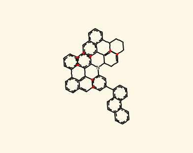 C1=CCC(N(c2cccc(-c3cccc4c3ccc3ccccc34)c2)c2ccccc2C2=c3c(-c4ccccc4)cccc3=CCC2)C(c2cccc3cccc(C4CCCCC4)c23)=C1